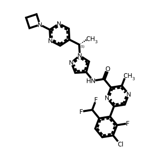 Cc1ncc(-c2c(C(F)F)ccc(Cl)c2F)nc1C(=O)Nc1cnn([C@@H](C)c2cnc(N3CCC3)nc2)c1